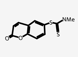 CNC(=S)Sc1ccc2oc(=O)ccc2c1